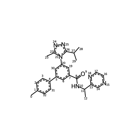 Cc1ccc(-c2cc(C(=O)NC(C)c3cnccn3)cc(-n3c(C)nnc3C(C)C)c2)cc1